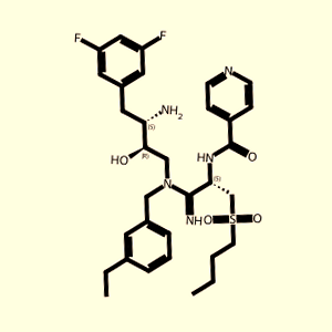 CCCCS(=O)(=O)C[C@@H](NC(=O)c1ccncc1)C(=N)N(Cc1cccc(CC)c1)C[C@@H](O)[C@@H](N)Cc1cc(F)cc(F)c1